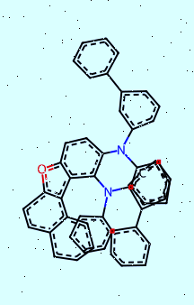 c1ccc(-c2cccc(N(c3ccccc3)c3ccc4oc5ccc6ccccc6c5c4c3N(c3ccccc3)c3ccccc3-c3ccccc3)c2)cc1